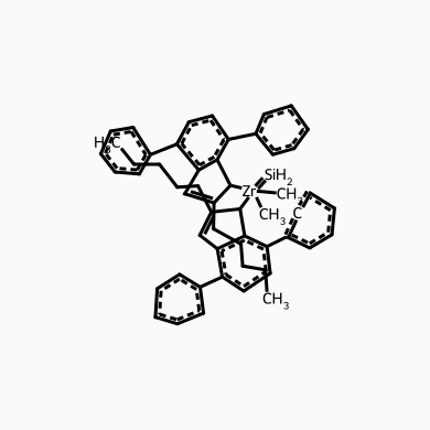 CCCCCC1=Cc2c(-c3ccccc3)ccc(-c3ccccc3)c2[CH]1[Zr]([CH3])([CH3])(=[SiH2])[CH]1C(CCCCC)=Cc2c(-c3ccccc3)ccc(-c3ccccc3)c21